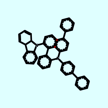 C1=CC2c3ccccc3N(c3ccccc3-c3ccccc3N(c3ccc(-c4ccccc4)cc3)c3ccc(-c4ccccc4)cc3)C2C=C1